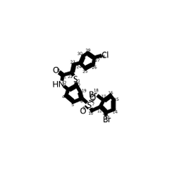 O=C1Nc2ccc(S(=O)(=O)Cc3c(Br)cccc3Br)cc2SC1=Cc1ccc(Cl)cc1